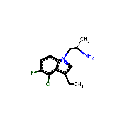 CCc1cn(C[C@H](C)N)c2ccc(F)c(Cl)c12